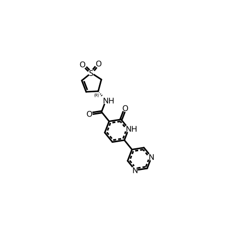 O=C(N[C@@H]1C=CS(=O)(=O)C1)c1ccc(-c2cncnc2)[nH]c1=O